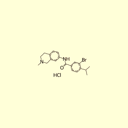 CC(C)c1ccc(C(=O)Nc2ccc3c(c2)CN(C)CC3)cc1Br.Cl